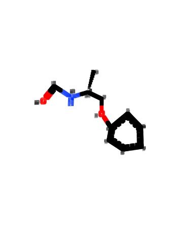 C[C@H](COc1ccccc1)NC=O